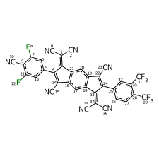 N#CC(C#N)=C1C(c2cc(F)c(C#N)c(F)c2)=C(C#N)c2cc3c(cc21)C(C#N)=C(c1ccc(C(F)(F)F)c(C(F)(F)F)c1)C3=C(C#N)C#N